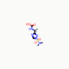 C[C@H](NC(=O)O)c1ncn(S(=O)(=O)N(C)C)n1